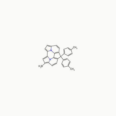 Bc1cc2c3ccc4ccc5c(c6c(ccc1n26)C5(c1ccc(C)cc1)c1ccc(C)cc1)n43